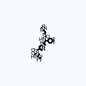 COC[C@H](c1cnn2cc([C@@H](NC(=O)OCc3ncn(C)n3)C3CCC(F)(F)CC3)nc2c1)N1C[C@@H](C(F)(F)F)NC1=O